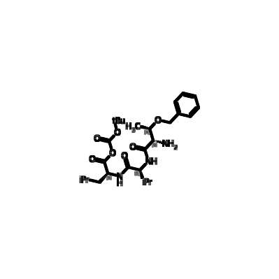 CC(C)C[C@H](NC(=O)[C@@H](NC(=O)[C@@H](N)[C@@H](C)OCc1ccccc1)C(C)C)C(=O)OC(=O)OC(C)(C)C